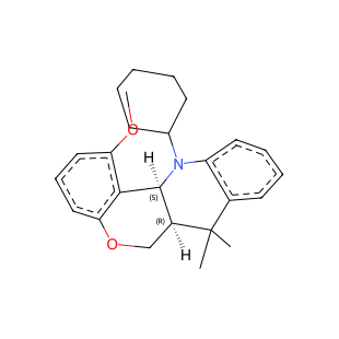 COc1cccc2c1[C@@H]1[C@H](CO2)C(C)(C)c2ccccc2N1C1CCCCC1